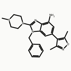 Cc1noc(C)c1-c1cc(N)c2nc(N3CCN(C)CC3)n(Cc3ccccc3)c2c1